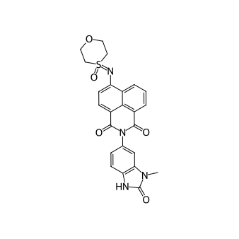 Cn1c(=O)[nH]c2ccc(N3C(=O)c4cccc5c(N=S6(=O)CCOCC6)ccc(c45)C3=O)cc21